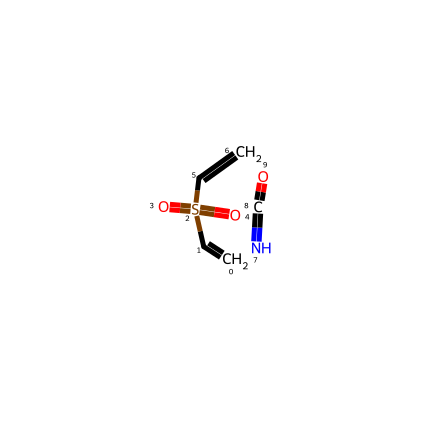 C=CS(=O)(=O)C=C.N=C=O